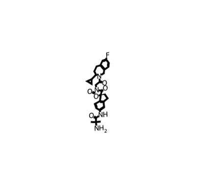 CC(C)(N)C(=O)Nc1ccc2c(c1)CC[C@]21OC(=O)N(CC(=O)N2Cc3ccc(F)cc3CCC2C2CC2)C1=O